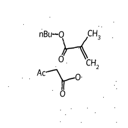 C=C(C)C(=O)OCCCC.CC(=O)CC([O])=O